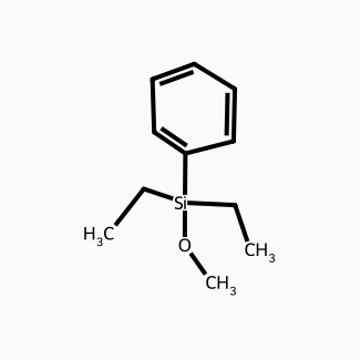 CC[Si](CC)(OC)c1ccccc1